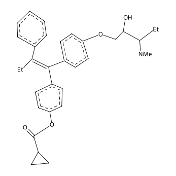 CCC(=C(c1ccc(OCC(O)C(CC)NC)cc1)c1ccc(OC(=O)C2CC2)cc1)c1ccccc1